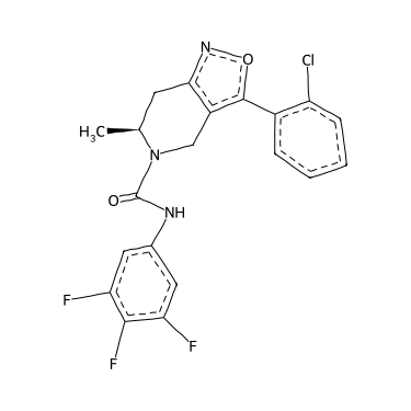 C[C@H]1Cc2noc(-c3ccccc3Cl)c2CN1C(=O)Nc1cc(F)c(F)c(F)c1